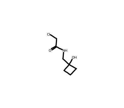 O=C(CCl)NCC1(O)CCC1